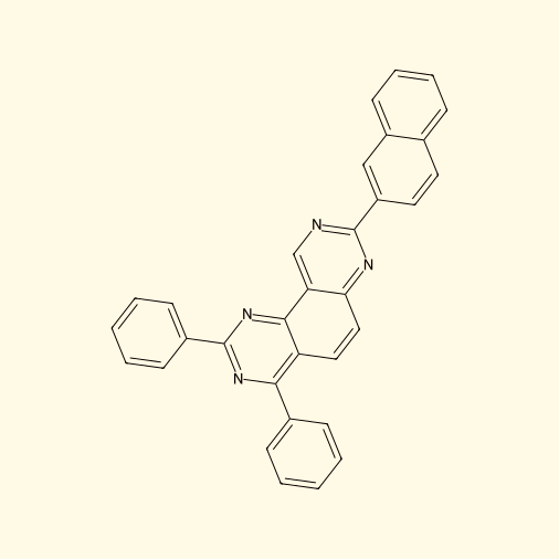 c1ccc(-c2nc(-c3ccccc3)c3ccc4nc(-c5ccc6ccccc6c5)ncc4c3n2)cc1